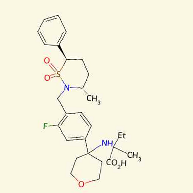 CCC(C)(NC1(c2ccc(CN3[C@@H](C)CC[C@H](c4ccccc4)S3(=O)=O)c(F)c2)CCOCC1)C(=O)O